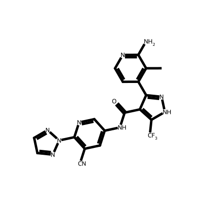 Cc1c(-c2n[nH]c(C(F)(F)F)c2C(=O)Nc2cnc(-n3nccn3)c(C#N)c2)ccnc1N